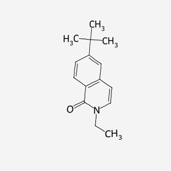 CCn1ccc2cc(C(C)(C)C)ccc2c1=O